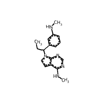 CCC(c1cccc(NC)c1)n1ccc2c(NC)ncnc21